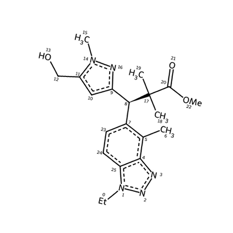 CCn1nnc2c(C)c([C@@H](c3cc(CO)n(C)n3)C(C)(C)C(=O)OC)ccc21